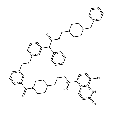 O=C(OCC1CCN(Cc2ccccc2)CC1)C(c1ccccc1)c1cccc(OCc2cccc(C(=O)N3CCC(CNC[C@H](O)c4ccc(O)c5[nH]c(=O)ccc45)CC3)c2)c1